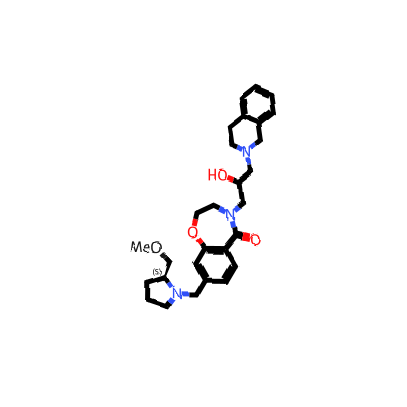 COC[C@@H]1CCCN1Cc1ccc2c(c1)OCCN(CC(O)CN1CCc3ccccc3C1)C2=O